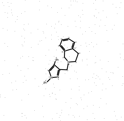 CC(C)c1cn(C(C)C)nc1CN1CCc2ccccc2C1